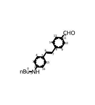 CCCCNc1ccc(/C=C/c2ccc(C=O)cc2)cc1